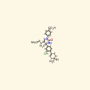 CCC1(C)CC=C(c2ccc([C@]3(C)NC(=O)N(c4ccc(C(=O)O)cc4)C=C3CCOC)cc2Cl)CC1